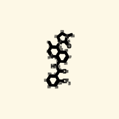 Cc1cnc2c(NC(=O)c3ccccc3C(F)(F)F)cccc2c1N1CCN(C)C1=O